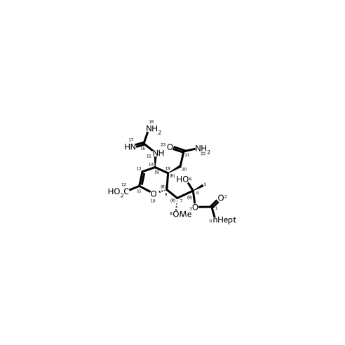 CCCCCCCC(=O)O[C@@](C)(O)[C@H](OC)[C@@H]1OC(C(=O)O)=C[C@@H](NC(=N)N)[C@H]1CC(N)=O